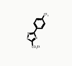 CCOC(=O)c1nc(-c2ccc(C(F)(F)F)cc2)ns1